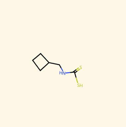 S=C(S)NCC1CCC1